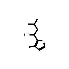 Cc1ccsc1C(O)CC(C)C